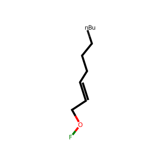 CCCCCCCC=CCOF